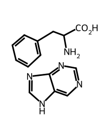 NC(Cc1ccccc1)C(=O)O.c1ncc2[nH]cnc2n1